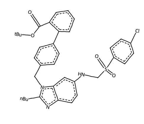 CCCCc1nc2ccc(NCS(=O)(=O)c3ccc(Cl)cc3)cc2n1Cc1ccc(-c2ccccc2C(=O)OC(C)(C)C)cc1